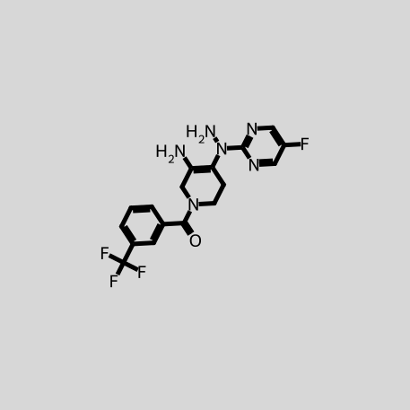 NC1=C(N(N)c2ncc(F)cn2)CCN(C(=O)c2cccc(C(F)(F)F)c2)C1